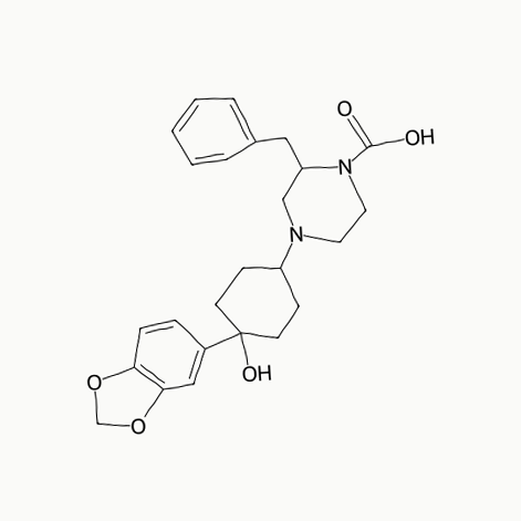 O=C(O)N1CCN(C2CCC(O)(c3ccc4c(c3)OCO4)CC2)CC1Cc1ccccc1